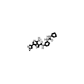 Cn1cc(-c2cnc(N)c3c(C(=O)Nc4cccc(NC(=O)Nc5ccccc5)c4)csc23)cn1